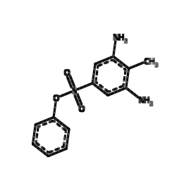 Cc1c(N)cc(S(=O)(=O)Oc2ccccc2)cc1N